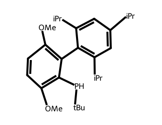 COc1ccc(OC)c(-c2c(C(C)C)cc(C(C)C)cc2C(C)C)c1PC(C)(C)C